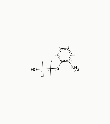 CC(C)(O)C(C)(C)Sc1ccccc1N